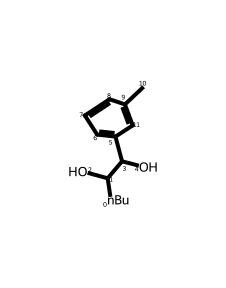 CCCCC(O)C(O)c1cccc(C)c1